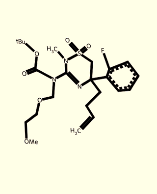 C=CCCC1(c2ccccc2F)CS(=O)(=O)N(C)C(N(COCCOC)C(=O)OC(C)(C)C)=N1